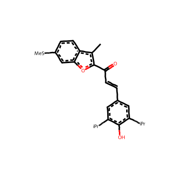 CSc1ccc2c(C)c(C(=O)/C=C/c3cc(C(C)C)c(O)c(C(C)C)c3)oc2c1